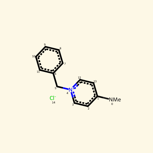 CNc1cc[n+](Cc2ccccc2)cc1.[Cl-]